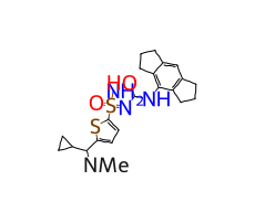 CNC(c1ccc(S(N)(=O)=NC(O)Nc2c3c(cc4c2CCC4)CCC3)s1)C1CC1